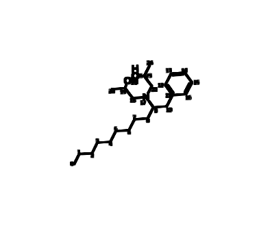 CCCCCCCCCC(Cc1ccccc1)N(CC(C)O)CC(C)O